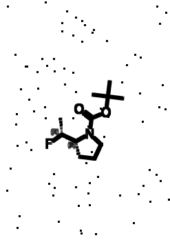 C[C@@H](F)[C@H]1CCCN1C(=O)OC(C)(C)C